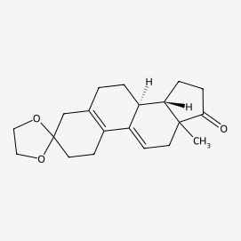 CC12CC=C3C4=C(CC[C@H]3[C@@H]1CCC2=O)CC1(CC4)OCCO1